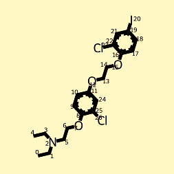 CCN(CC)CCOc1ccc(OCCOc2ccc(I)cc2Cl)cc1Cl